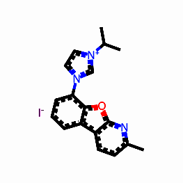 Cc1ccc2c(n1)oc1c(-n3cc[n+](C(C)C)c3)cccc12.[I-]